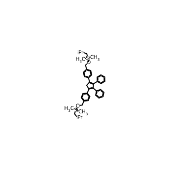 CC(C)C[Si](C)(C)OCc1ccc(C2=C(c3ccccc3)C(c3ccccc3)=C(c3ccc(CO[Si](C)(C)CC(C)C)cc3)C2)cc1